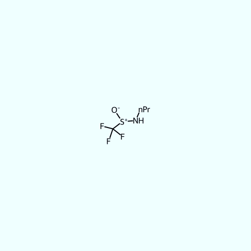 CCCN[S+]([O-])C(F)(F)F